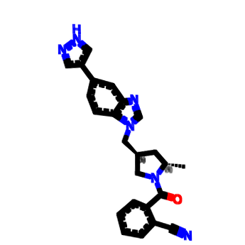 C[C@H]1C[C@H](Cn2cnc3cc(-c4cn[nH]c4)ccc32)CN1C(=O)c1ccccc1C#N